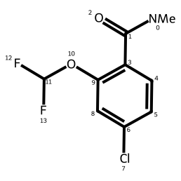 CNC(=O)c1ccc(Cl)cc1OC(F)F